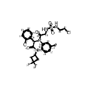 O=C(NC1CC(F)(F)C1)C(c1ccccc1Cl)N(C(=O)CNS(=O)(=O)NCCCl)c1cccc(F)c1